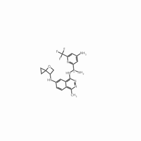 Cc1nnc(N[C@H](N)c2cc(N)cc(C(F)(F)F)n2)c2cc(NC3COC34CC4)ccc12